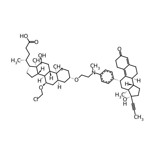 CC#C[C@]1(O)CC[C@H]2[C@@H]3CCC4=CC(=O)CCC4=C3[C@@H](c3ccc(N(C)CCO[C@H]4CC[C@@]5(C)[C@@H](C4)C[C@@H](OCCl)[C@@H]4[C@@H]5C[C@H](O)[C@]5(C)[C@@H]([C@H](C)CCC(=O)O)CC[C@@H]45)cc3)C[C@@]21C